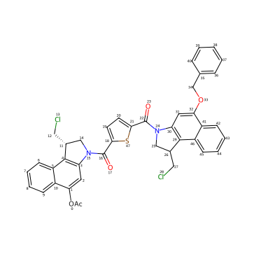 CC(=O)Oc1cc2c(c3ccccc13)[C@H](CCl)CN2C(=O)c1ccc(C(=O)N2CC(CCl)c3c2cc(OCc2ccccc2)c2ccccc32)s1